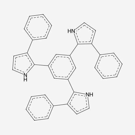 c1ccc(-c2cc[nH]c2-c2cc(-c3[nH]ccc3-c3ccccc3)cc(-c3[nH]ccc3-c3ccccc3)c2)cc1